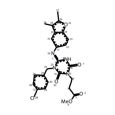 COC(=O)CCn1c(=O)[nH]/c(=N\c2ccc3oc(C)c(C)c3c2)n(Cc2ccc(Cl)cc2)c1=O